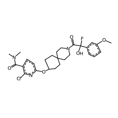 COc1cccc(C(O)(F)C(=O)N2CCC3(CCC(Oc4ccc(C(=O)N(C)C)c(Cl)n4)CC3)CC2)c1